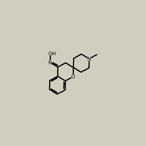 CN1CCC2(CC1)CC(=NO)c1ccccc1O2